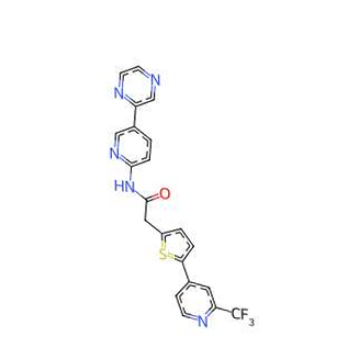 O=C(Cc1ccc(-c2ccnc(C(F)(F)F)c2)s1)Nc1ccc(-c2cnccn2)cn1